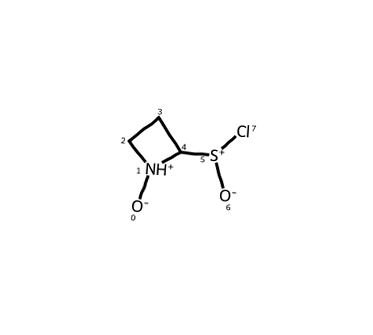 [O-][NH+]1CCC1[S+]([O-])Cl